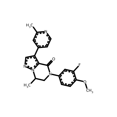 COc1ccc(N2CC(C)n3ncc(-c4ccnc(C)c4)c3C2=O)cc1F